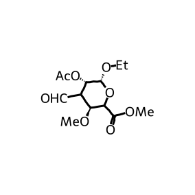 CCO[C@@H]1OC(C(=O)OC)[C@@H](OC)C(C=O)[C@@H]1OC(C)=O